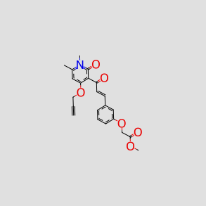 C#CCOc1cc(C)n(C)c(=O)c1C(=O)/C=C/c1cccc(OCC(=O)OC)c1